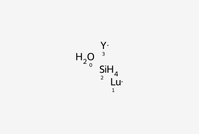 O.[Lu].[SiH4].[Y]